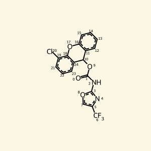 O=C(Nc1nc(C(F)(F)F)co1)OC1c2ccccc2Oc2c(Cl)cccc21